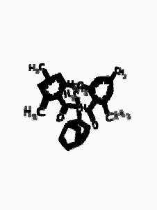 Cc1cc(C)c(C(=O)[PH](C)(C(=O)c2c(C)cc(C)cc2C)C2CC3C=CC2C3)c(C)c1